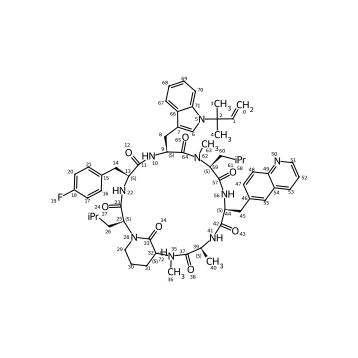 C=CC(C)(C)n1cc(C[C@@H]2NC(=O)[C@H](Cc3ccc(F)cc3)NC(=O)[C@H](CC(C)C)N3CCC[C@@H](C3=O)N(C)C(=O)[C@H](C)NC(=O)[C@H](Cc3ccc4ncccc4c3)NC(=O)[C@H](CC(C)C)N(C)C2=O)c2ccccc21